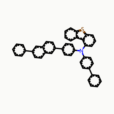 c1ccc(-c2ccc(N(c3ccc(-c4ccc5cc(-c6ccccc6)ccc5c4)cc3)c3cccc4sc5ccccc5c34)cc2)cc1